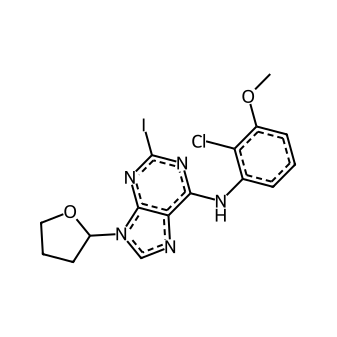 COc1cccc(Nc2nc(I)nc3c2ncn3C2CCCO2)c1Cl